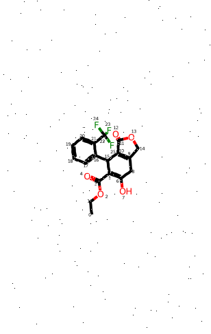 CCOC(=O)C1=C(O)CC2=C(C(=O)OC2)C1c1ccccc1C(F)(F)F